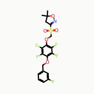 CC1(C)CC(S(=O)(=O)COc2c(F)c(F)c(OCc3cccc(F)c3)c(F)c2F)=NO1